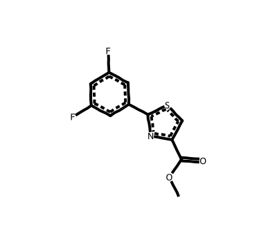 COC(=O)c1csc(-c2cc(F)cc(F)c2)n1